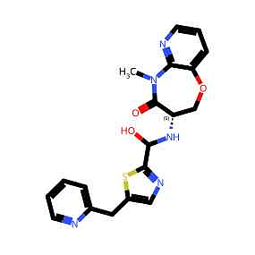 CN1C(=O)[C@@H](NC(O)c2ncc(Cc3ccccn3)s2)COc2cccnc21